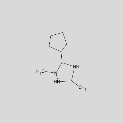 CC1NC(C2CCCC2)N(C)N1